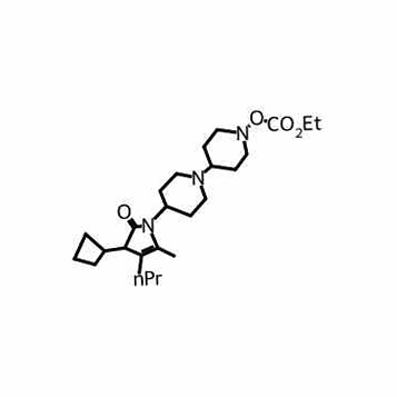 CCCC1=C(C)N(C2CCN(C3CCN(OC(=O)OCC)CC3)CC2)C(=O)C1C1CCC1